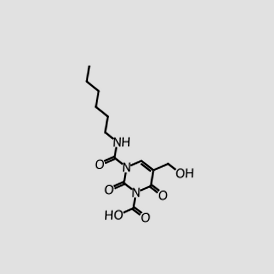 CCCCCCNC(=O)n1cc(CO)c(=O)n(C(=O)O)c1=O